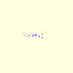 Cc1cc(C)nc(NC(=S)N2CCN(c3cc4ccccc4cn3)CC2)c1